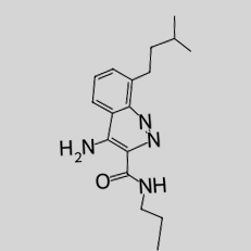 CCCNC(=O)c1nnc2c(CCC(C)C)cccc2c1N